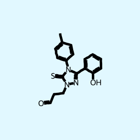 Cc1ccc(-n2c(-c3ccccc3O)nn(CCC=O)c2=S)cc1